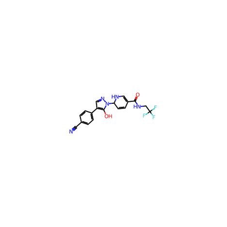 N#Cc1ccc(-c2cnn(C3C=CC(C(=O)NCC(F)(F)F)=CN3)c2O)cc1